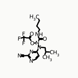 CCCCNC(=O)N(OC(=O)C(F)(F)F)N(CC(C)C)c1ccnc(C#N)n1